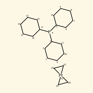 C1CCC(P(C2CCCCC2)C2CCCCC2)CC1.[CH2]1[CH2][Pt]12[CH2][CH2]2